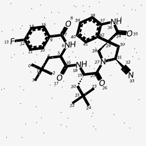 CC(C)(C)CC(NC(=O)c1ccc(F)cc1)C(=O)N[C@@H](CC(C)(C)C)C(=O)N1C[C@]2(C[C@H]1C#N)C(=O)Nc1ccccc12